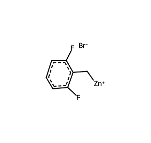 Fc1cccc(F)c1[CH2][Zn+].[Br-]